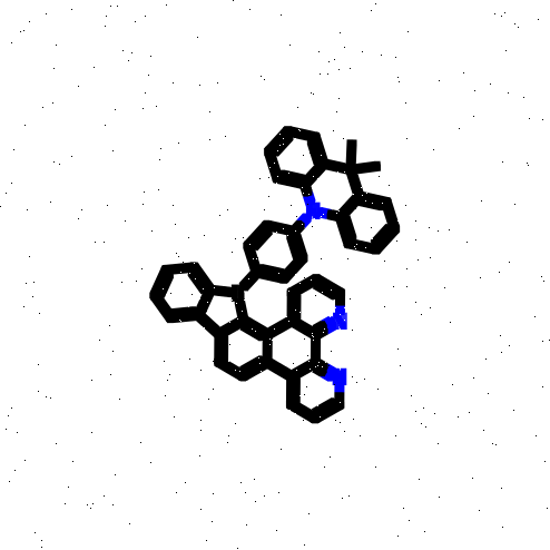 CC1(C)c2ccccc2N(c2ccc(B3c4ccccc4-c4ccc5c6cccnc6c6ncccc6c5c43)cc2)c2ccccc21